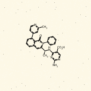 Cc1cc(-c2cccc3cc([C@H](C)Nc4nc(N)ncc4C(=O)O)n(-c4ccccc4)c(=O)c23)ccn1